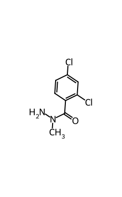 CN(N)C(=O)c1ccc(Cl)cc1Cl